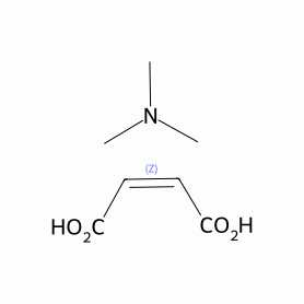 CN(C)C.O=C(O)/C=C\C(=O)O